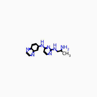 CC(N)CNc1nccc(Nc2ccc3nccnc3c2)n1